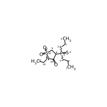 CCSP(=S)(SCC)C1CS(=O)(=O)N(CC)C1=O